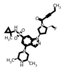 CCC#CC(=O)N1C[C@H](n2ncc3c(N4C[C@H](C)N[C@@H](C)C4)cc(S(=O)(=O)NC4(C)CC4)cc32)C[C@H]1CF